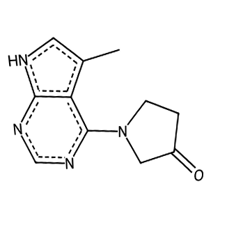 Cc1c[nH]c2ncnc(N3CCC(=O)C3)c12